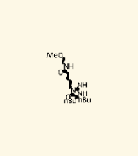 CCCCC1(CCCC)NC(=N)N(CCCCC(=O)NCCOC)C1=O